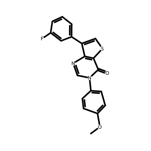 COc1ccc(-n2cnc3c(-c4cccc(F)c4)csc3c2=O)cc1